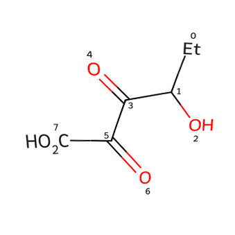 CCC(O)C(=O)C(=O)C(=O)O